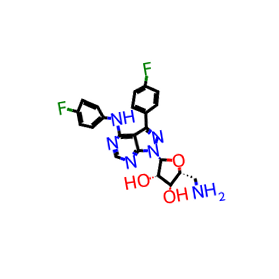 NC[C@H]1O[C@@H](n2nc(-c3ccc(F)cc3)c3c(Nc4ccc(F)cc4)ncnc32)[C@@H](O)[C@H]1O